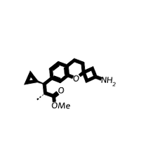 COC(=O)[C@H](C)[C@H](c1ccc2c(c1)OC1(CC2)CC(N)C1)C1CC1